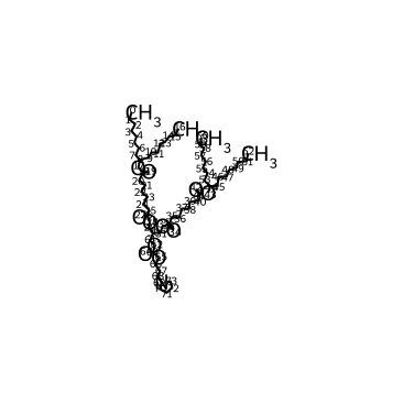 CCCCCCCCC(CCCCCCCC)OC(=O)CCCCCCC(=O)OCC(COC(=O)CCCCCCC(=O)OC(CCCCCCCC)CCCCCCCC)COC(=O)OCCCN1CCCC1